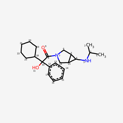 CC(C)NC1C2CN(C(=O)C(O)(c3ccccc3)C3CCCCC3)CC21